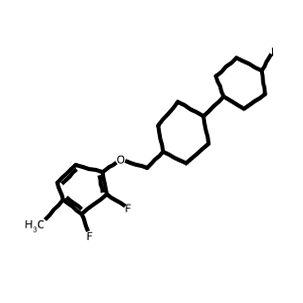 Cc1ccc(OCC2CCC(C3CCC(I)CC3)CC2)c(F)c1F